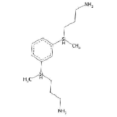 C[SiH](CCCN)c1cccc([SiH](C)CCCN)c1